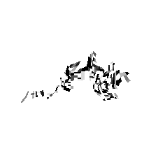 CCOC(=O)c1csc(-c2coc(-c3csc(C[C@H](NC(=O)OC(C)(C)C)C(=O)OC(C)C)n3)n2)n1